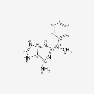 CN(c1ccccc1)c1nc(N)c2[nH]cnc2n1